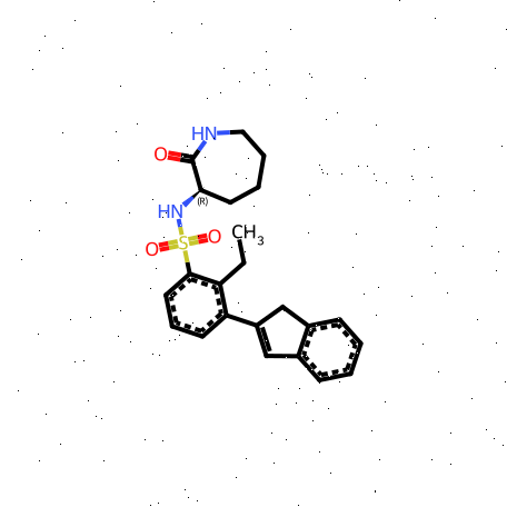 CCc1c(C2=Cc3ccccc3C2)cccc1S(=O)(=O)N[C@@H]1CCCCNC1=O